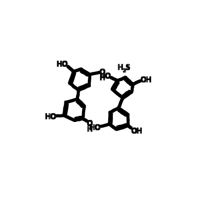 Oc1cc(O)cc(-c2cc(O)cc(O)c2)c1.Oc1cc(O)cc(-c2cc(O)cc(O)c2)c1.S